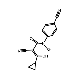 N#CC(C(=O)N(S)c1ccc(C#N)cc1)=C(O)C1CC1